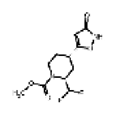 COC(=O)N1CC[C@H](c2cc(=O)[nH]o2)C[C@H]1C(F)F